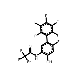 O=C(Nc1cc(-c2c(F)c(F)c(F)c(I)c2F)c(F)cc1O)C(F)(F)Br